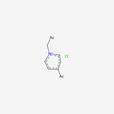 CC(=O)C[n+]1ccc(C(C)=O)cc1.[Cl-]